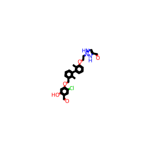 Cc1c(COc2cc(O)c(C=O)cc2Cl)cccc1-c1cccc(OCCN2NC=C(C=O)N2)c1C